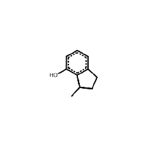 CC1CCc2cccc(O)c21